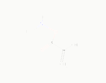 C=C(C)C(=O)ON(C)CC